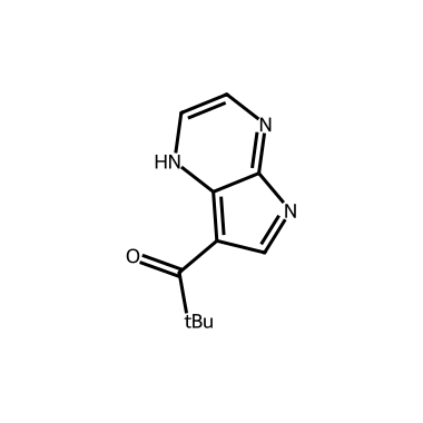 CC(C)(C)C(=O)c1cnc2ncc[nH]c1-2